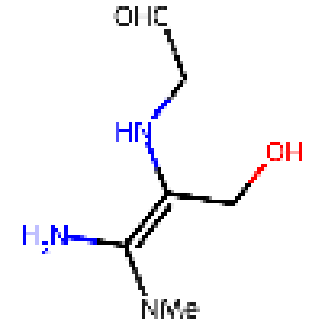 CN/C(N)=C(\CO)NCC=O